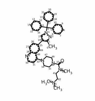 Cc1nn(C(c2ccccc2)(c2ccccc2)c2ccccc2)cc1-c1ccc2nccc(N3CCN(C(=O)N(C)CCN(C)C)CC3)c2c1